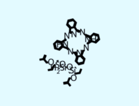 C=C(C)COC(CC)[Si](C)(C)O[SiH2]O[Si](C)(C)C(CC)OCC(=C)C.c1ccc2c(c1)-c1nc-2nc2[nH]c(nc3nc(nc4[nH]c(n1)c1ccccc41)-c1ccccc1-3)c1ccccc21